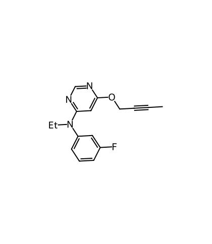 CC#CCOc1cc(N(CC)c2cccc(F)c2)ncn1